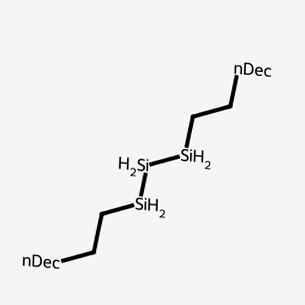 CCCCCCCCCCCC[SiH2][SiH2][SiH2]CCCCCCCCCCCC